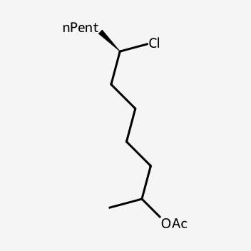 CCCCC[C@@H](Cl)CCCCC(C)OC(C)=O